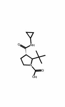 CC(C)(C)C1[C@@H](C(=O)NC2CC2)CCN1C(=O)O